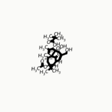 CC(=O)O[C@@]12C[C@@H](C)[C@]34C=C(C)[C@H](OC(=O)C(C)(C)C)[C@@]3(O)[C@H](O)C(CO)=C[C@H](C4=O)[C@@H]1C2(C)C